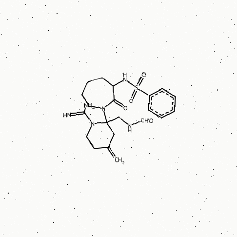 C=C1CCN(C(=N)N)C(CNC=O)(N2CCCCC(NS(=O)(=O)c3ccccc3)C2=O)C1